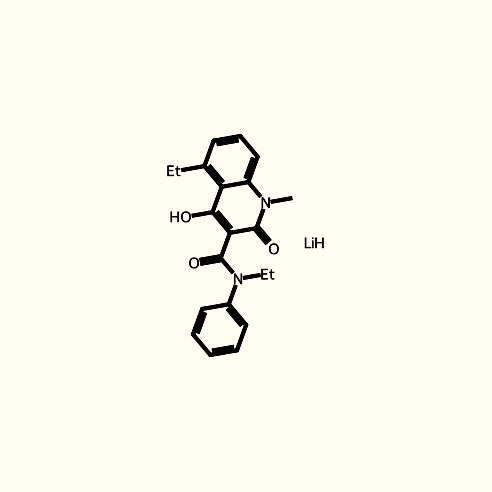 CCc1cccc2c1c(O)c(C(=O)N(CC)c1ccccc1)c(=O)n2C.[LiH]